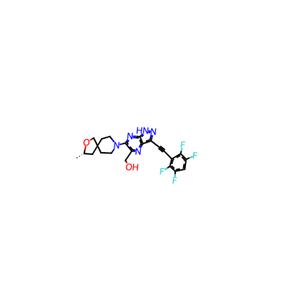 C[C@H]1CC2(CCN(c3nc4[nH]nc(C#Cc5c(F)c(F)cc(F)c5F)c4nc3CO)CC2)CO1